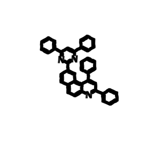 c1ccc(-c2cc(-c3ccccc3)nc(-c3ccc4ccc5nc(-c6ccccc6)cc(-c6ccccc6)c5c4c3)n2)cc1